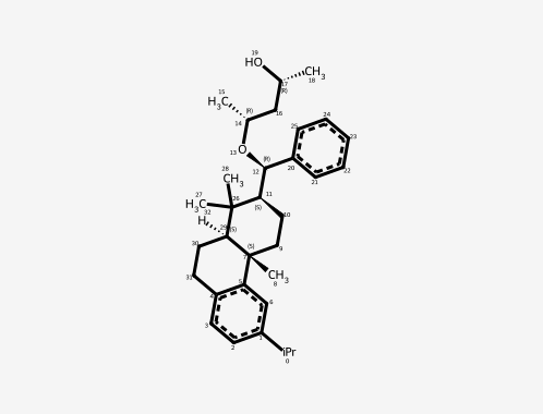 CC(C)c1ccc2c(c1)[C@@]1(C)CC[C@H]([C@@H](O[C@H](C)C[C@@H](C)O)c3ccccc3)C(C)(C)[C@@H]1CC2